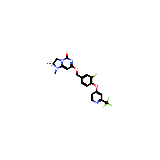 C[C@@H]1Cn2c(cc(OCc3ccc(Oc4ccnc(C(F)(F)F)c4)c(F)c3)nc2=O)N1C